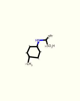 CCCC(NC1CCC(C)CC1)S(=O)(=O)O